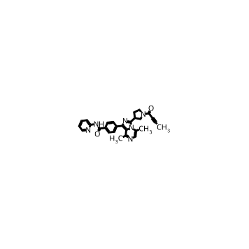 CC#CC(=O)N1CCC(c2nc(-c3ccc(C(=O)Nc4ccccn4)cc3)c3c(C)ncc(C)n23)C1